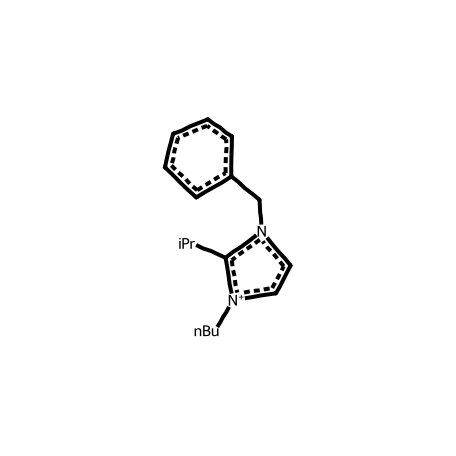 CCCC[n+]1ccn(Cc2ccccc2)c1C(C)C